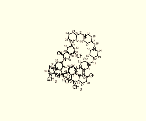 CN(C(=O)c1cc(N2CCN(CC3CCN(CC4CCN(CC5CCCN(c6cc7c(c(C(F)(F)F)c6)CN(c6cccc(C8(Cc9nncn9C)COC8)c6)C7=O)C5)CC4)CC3)CC2)ccc1C=O)C1CCC(=O)NC1=O